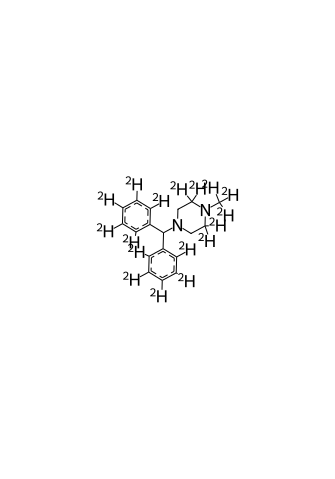 [2H]c1c([2H])c([2H])c(C(c2c([2H])c([2H])c([2H])c([2H])c2[2H])N2CC([2H])([2H])N(C([2H])([2H])[2H])C([2H])([2H])C2)c([2H])c1[2H]